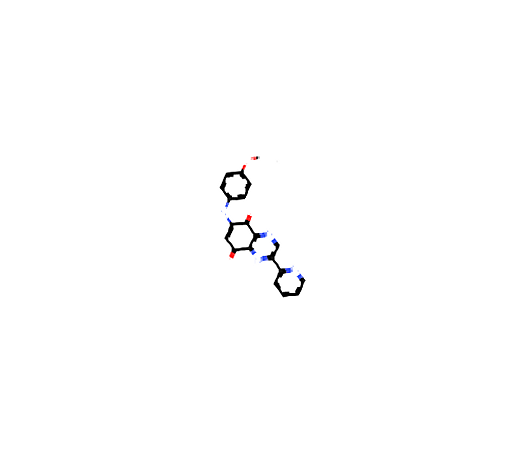 COc1ccc(NC2=CC(=O)c3nc(-c4ccccn4)cnc3C2=O)cc1